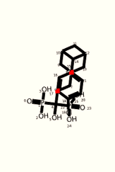 O=P(O)(O)C(O)(CCN1CC2CC(C1)C2c1ccc(Cl)cc1)P(=O)(O)O